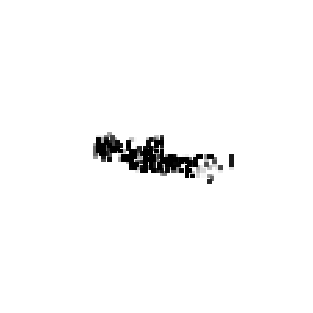 CO[C@@]1(NC(=O)CCC[C@@H](N)C(=O)O)C(=O)N2C(C(=O)O)=C(CSc3nnnn3C)CS[C@@H]21